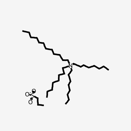 CCCCCCCCCCCC[N+](CCCCCCCC)(CCCCCCCC)CCCCCCCC.CCCS(=O)(=O)[O-]